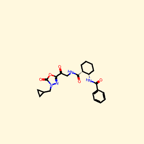 O=C(N[C@H]1CCCC[C@H]1C(=O)NCC(=O)c1nn(CC2CC2)c(=O)o1)c1ccccc1